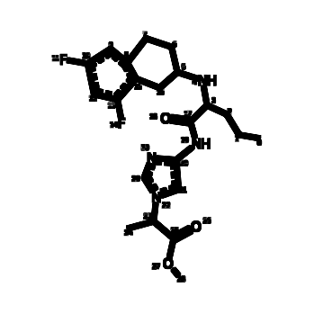 CCCC(NC1CCc2cc(F)cc(F)c2C1)C(=O)Nc1cn(C(C)C(=O)OC)cn1